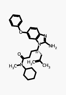 C=C(C)C[C@H](CCC(=O)N(C)C1CCCCC1)n1c(N)nc2ccc(Oc3ccccc3)cc21